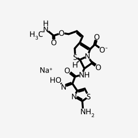 CNC(=O)OC/C=C\C1=C(C(=O)[O-])N2C(=O)C(NC(=O)/C(=N\O)c3csc(N)n3)[C@H]2SC1.[Na+]